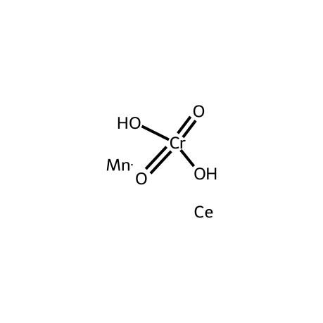 [Ce].[Mn].[O]=[Cr](=[O])([OH])[OH]